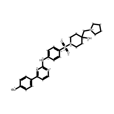 CC(C)(C)c1ccc(-c2ccnc(Nc3ccc(S(=O)(=O)N4CCC(O)(CN5CCCC5)CC4)cc3)n2)cc1